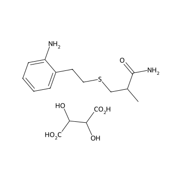 CC(CSCCc1ccccc1N)C(N)=O.O=C(O)C(O)C(O)C(=O)O